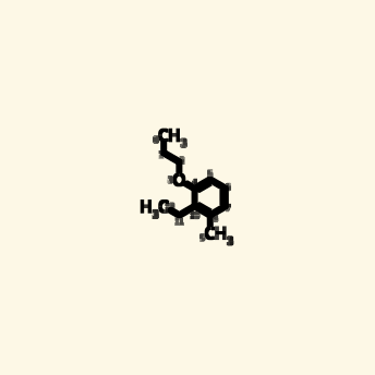 CCCOc1cccc(C)c1CC